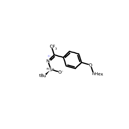 CCCCCCOc1ccc(/C(=N\[S@@+]([O-])C(C)(C)C)C(F)(F)F)cc1